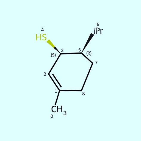 CC1=C[C@@H](S)[C@@H](C(C)C)CC1